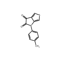 Cc1ccc(N2C(=O)C(=O)c3cscc32)cc1